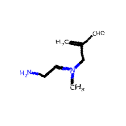 C=C(C=O)CN(C)CCN